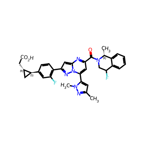 Cc1cc(-c2cc(C(=O)N3CC(F)c4ccccc4[C@H]3C)nc3cc(-c4ccc([C@H]5C[C@@H]5CC(=O)O)cc4F)nn23)n(C)n1